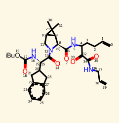 C=CCCC(NC(=O)[C@@H]1C2C(CN1C(=O)[C@@H](NC(=O)OCC(C)C)C1Cc3ccccc3C1)C2(C)C)C(=O)C(=O)NCC=C